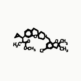 COC(=O)[C@H](C)[C@H](c1ccc2c(c1)OC1(CC2)CCN(Cc2cc(Cl)cc3c2OC(C)(C)C3)CC1)C1CC1